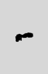 O=C1CCc2ccc(OCCCCCN3CCN(Cc4ccc5ccccc5n4)CC3)cc2N1